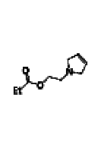 CCC(=O)OCCN1CC=CC1